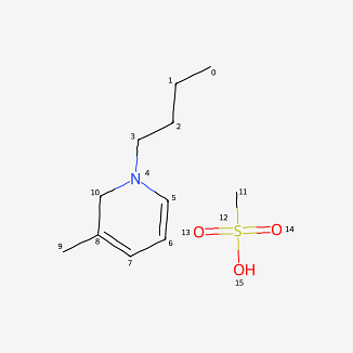 CCCCN1C=CC=C(C)C1.CS(=O)(=O)O